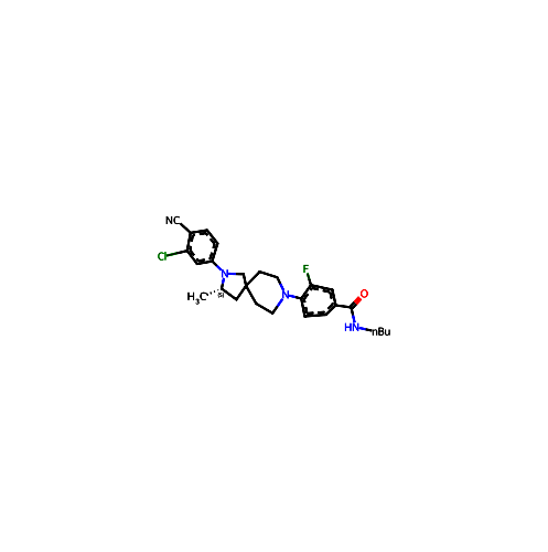 CCCCNC(=O)c1ccc(N2CCC3(CC2)C[C@H](C)N(c2ccc(C#N)c(Cl)c2)C3)c(F)c1